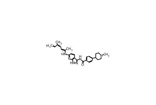 C=C/C(C)=C\C=C(/C)Nc1ccc2c(NC(=O)c3ccc(C4CCN(C)CC4)cc3)n[nH]c2n1